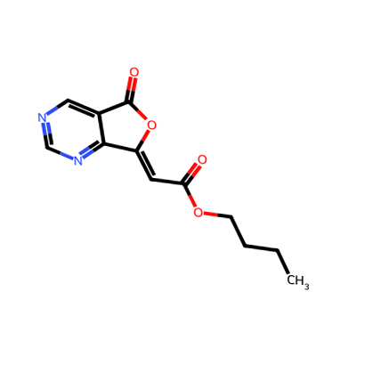 CCCCOC(=O)C=C1OC(=O)c2cncnc21